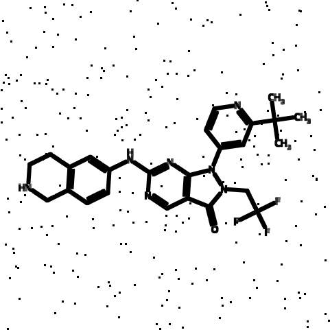 CC(C)(C)c1cc(-n2c3nc(Nc4ccc5c(c4)CCNC5)ncc3c(=O)n2CC(F)(F)F)ccn1